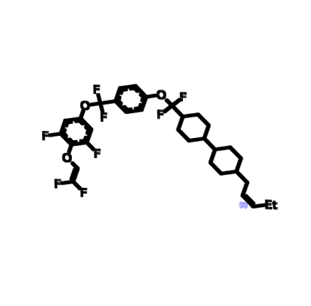 CC/C=C\CC1CCC(C2CCC(C(F)(F)Oc3ccc(C(F)(F)Oc4cc(F)c(OC=C(F)F)c(F)c4)cc3)CC2)CC1